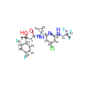 C[C@@](O)(CC(=O)NC1(c2cc(Cl)cc(NCC(F)(F)F)n2)CC1)c1ccc(F)cc1F